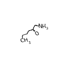 CCCCC(=O)CN